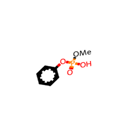 COP(=O)(O)Oc1ccccc1